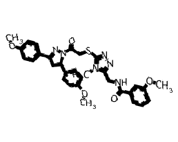 COc1ccc(C2=NN(C(=O)CSc3nnc(CNC(=O)c4cccc(OC)c4)n3C)C(c3ccc(OC)cc3)C2)cc1